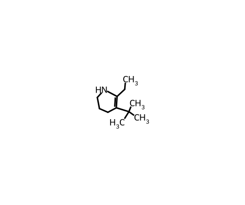 CCC1=C(C(C)(C)C)CCCN1